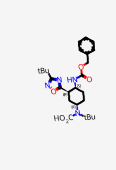 CC(C)(C)c1noc([C@@H]2C[C@H](N(C(=O)O)C(C)(C)C)CC[C@@H]2NC(=O)OCc2ccccc2)n1